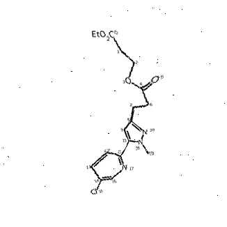 CCOC(=O)CCOC(=O)CCc1cc(-c2ccc(Cl)cn2)n(C)n1